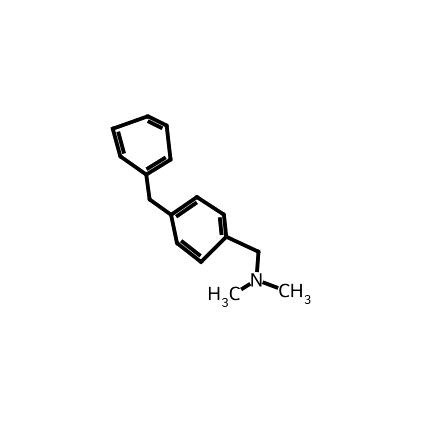 CN(C)Cc1ccc(Cc2ccccc2)cc1